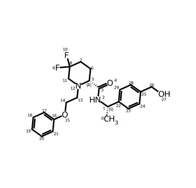 C[C@H](NC(=O)[C@H]1CCC(F)(F)CN1CCOc1ccccc1)c1ccc(CO)cc1